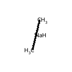 CCCCCCCCCCCCCCSCCCCCCCCCCCCCC.[NaH]